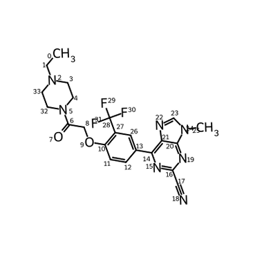 CCN1CCN(C(=O)COc2ccc(-c3nc(C#N)nc4c3ncn4C)cc2C(F)(F)F)CC1